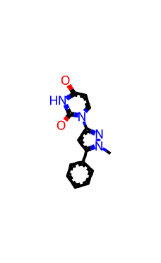 Cn1nc(-n2ccc(=O)[nH]c2=O)cc1-c1ccccc1